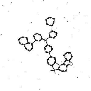 CC1(C)c2ccc(-c3ccc(N(c4cccc(-c5ccccc5)c4)c4cccc(-c5cccc6ccccc56)c4)cc3)cc2-c2c1ccc1oc3ccccc3c21